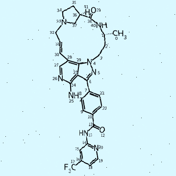 C[C@@H]1CCn2nc(-c3ccc(C(=O)Nc4cc(C(F)(F)F)ccn4)cc3)c3c(N)ncc(c32)/C=C/CN2CC[C@H](C2)C(=O)N1